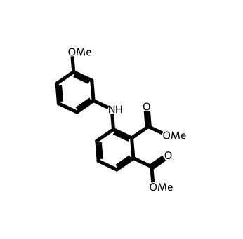 COC(=O)c1cccc(Nc2cccc(OC)c2)c1C(=O)OC